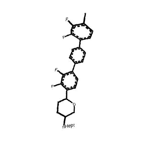 CCCCCCCC1CCC(c2ccc(-c3ccc(-c4ccc(C)c(F)c4F)cc3)c(F)c2F)OC1